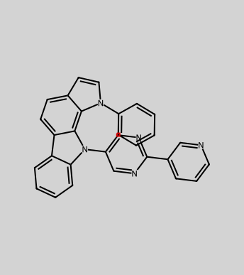 c1ccc(-n2ccc3ccc4c5ccccc5n(-c5cnc(-c6cccnc6)nc5)c4c32)cc1